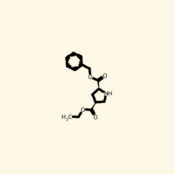 CCOC(=O)[C@@H]1CN[C@H](C(=O)OCc2ccccc2)C1